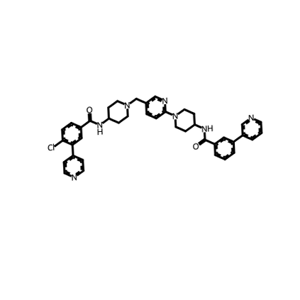 O=C(NC1CCN(Cc2ccc(N3CCC(NC(=O)c4cccc(-c5cccnc5)c4)CC3)nc2)CC1)c1ccc(Cl)c(-c2ccncc2)c1